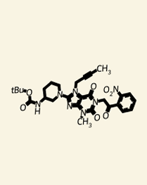 CC#CCn1c(N2CCCC(NC(=O)OC(C)(C)C)C2)nc2c1c(=O)n(CC(=O)c1ccccc1[N+](=O)[O-])c(=O)n2C